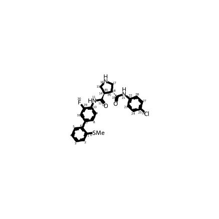 CSc1ccccc1-c1ccc(NC(=O)[C@H]2CNC[C@@H]2C(=O)Nc2ccc(Cl)cc2)c(F)c1